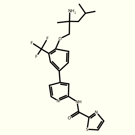 CC(C)CC(C)(N)COc1ccc(-c2ccnc(NC(=O)c3nccs3)c2)cc1C(F)(F)F